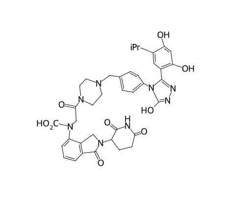 CC(C)c1cc(-c2nnc(O)n2-c2ccc(CN3CCN(C(=O)CN(C(=O)O)c4cccc5c4CN(C4CCC(=O)NC4=O)C5=O)CC3)cc2)c(O)cc1O